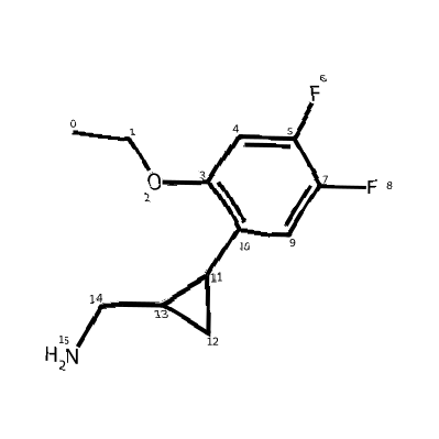 CCOc1cc(F)c(F)cc1C1CC1CN